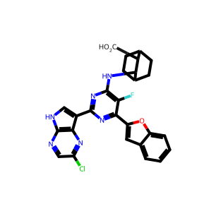 O=C(O)C1C2CCC(CC2)C1Nc1nc(-c2c[nH]c3ncc(Cl)nc23)nc(-c2cc3ccccc3o2)c1F